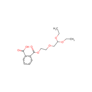 CCOC(COCCOC(=O)c1ccccc1C(=O)O)OCC